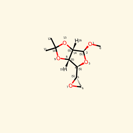 CO[C@H]1O[C@@H]([C@@H]2CO2)[C@@H]2OC(C)(C)O[C@H]12